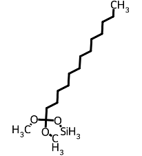 CCCCCCCCCCCCCC(OC)(OC)O[SiH3]